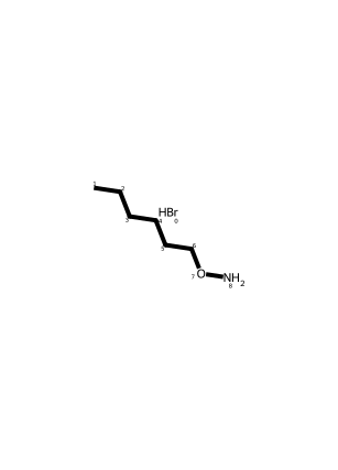 Br.CCCCCCON